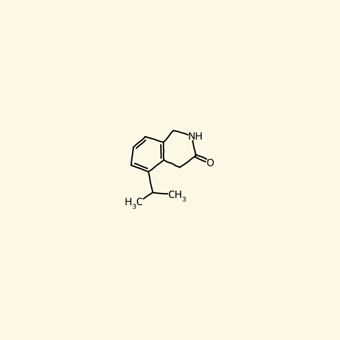 CC(C)c1cccc2c1CC(=O)NC2